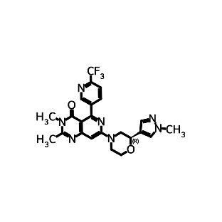 Cc1nc2cc(N3CCO[C@H](c4cnn(C)c4)C3)nc(-c3ccc(C(F)(F)F)nc3)c2c(=O)n1C